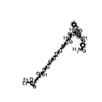 CCC(CC)C1CC(=O)N(CCCCCC(=O)NCCOCCOCCOCCOCCOCCOCCOCCOCC(=O)NCC(=O)NCC(=O)N[C@@H](Cc2ccccc2)C(=O)NCC(=O)NCOC2CCC(C(N)=O)CC2)C1=O